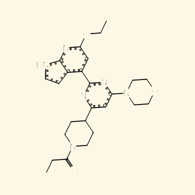 CCOc1cc(-c2nc(C3CCN(C(=O)CC)CC3)cc(N3CCOC[C@H]3C)n2)c2cc[nH]c2n1